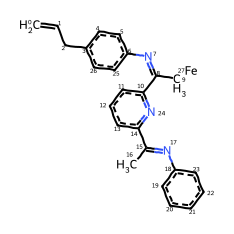 C=CCc1ccc(N=C(C)c2cccc(C(C)=Nc3ccccc3)n2)cc1.[Fe]